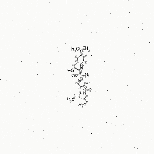 CCCCN(CCCC)C(=O)c1ccc2c(c1)C(=O)C(c1nc3ccc(C(C)C)cc3cc1O)C2=O